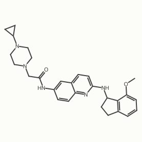 COc1cccc2c1C(Nc1ccc3cc(NC(=O)CN4CCN(C5CC5)CC4)ccc3n1)CC2